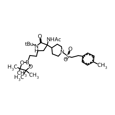 CC(=O)NC(CCCCB1OC(C)(C)C(C)(C)O1)(C(=O)NC(C)(C)C)C1CCN(S(=O)(=O)CCc2ccc(C)cc2)CC1